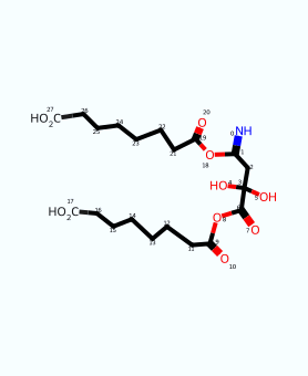 N=C(CC(O)(O)C(=O)OC(=O)CCCCCCC(=O)O)OC(=O)CCCCCCC(=O)O